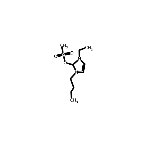 CCCCN1C=CN(CC)C1OS(C)(=O)=O